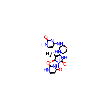 C1CSCCN1.Cc1c[nH]c(=O)[nH]c1=O.Nc1cc[nH]c(=O)n1.O=c1cc[nH]c(=O)[nH]1